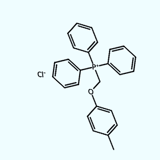 Cc1ccc(OC[P+](c2ccccc2)(c2ccccc2)c2ccccc2)cc1.[Cl-]